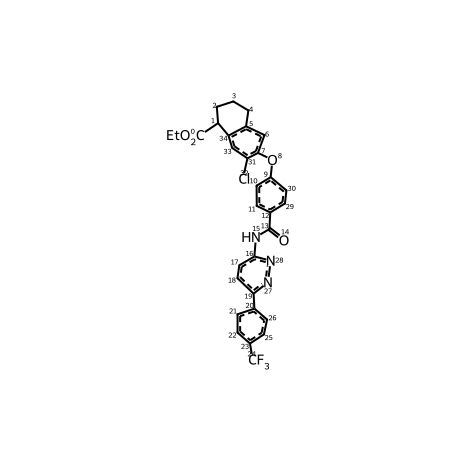 CCOC(=O)C1CCCc2cc(Oc3ccc(C(=O)Nc4ccc(-c5ccc(C(F)(F)F)cc5)nn4)cc3)c(Cl)cc21